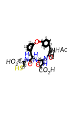 CC(=O)N[C@H]1Cc2ccc(cc2)Oc2cccc(c2)CC(C(=O)N[C@@H](CS)C(=O)O)NC(=O)C(CCC(=O)O)NC1=O